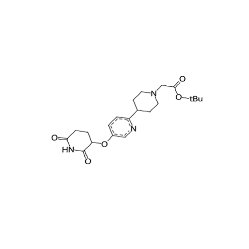 CC(C)(C)OC(=O)CN1CCC(c2ccc(OC3CCC(=O)NC3=O)cn2)CC1